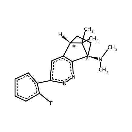 CN(C)[C@@]12CC[C@@H](c3cc(-c4ccccc4F)nnc31)C2(C)C